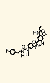 C=CC(=O)Nc1cc2c(Oc3ccc(NC(=O)NCCc4ccc(F)cc4)cc3F)ncnc2cc1OC